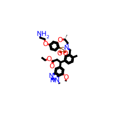 CCOC(=O)CC(c1ccc(C)c(CN2C[C@@H](C)Oc3cc(OCCN)ccc3S2(=O)=O)c1)c1cc(OC)c2c(c1)nnn2C